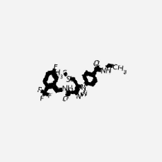 CCNC(=O)c1ccc(-n2nnc(C(=O)NCc3cc(F)ccc3C(F)(F)F)c2CSC)cc1